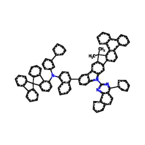 CC1(C)c2cc3c4cc(-c5ccc(N(c6cccc(-c7ccccc7)c6)c6cccc7c6-c6ccccc6C76c7ccccc7-c7ccccc76)c6ccccc56)ccc4n(-c4nc(-c5ccccc5)c5ccc6ccccc6c5n4)c3cc2-c2ccc3c4ccccc4c4ccccc4c3c21